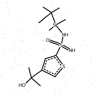 CC(C)(O)c1csc(S(=N)(=O)N[Si](C)(C)C(C)(C)C)c1